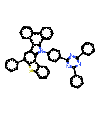 c1ccc(-c2nc(-c3ccccc3)nc(-c3ccc(-n4c5c(cc(-c6ccccc6)c6sc7ccccc7c65)c5c6ccccc6c6ccccc6c54)cc3)n2)cc1